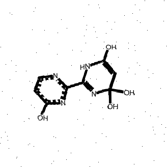 OC1=CC(O)(O)N=C(c2nccc(O)n2)N1